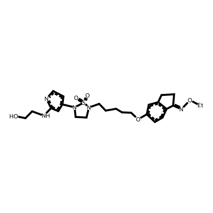 CCON=C1CCc2cc(OCCCCCN3CCN(c4ccnc(NCCO)c4)S3(=O)=O)ccc21